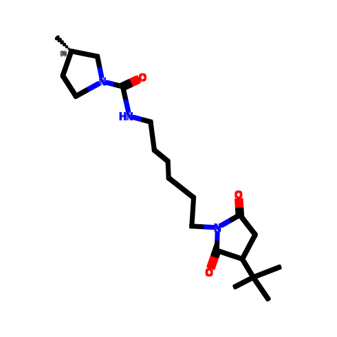 C[C@H]1CCN(C(=O)NCCCCCCN2C(=O)CC(C(C)(C)C)C2=O)C1